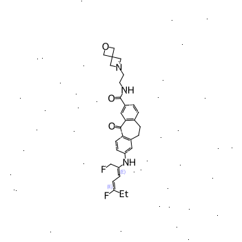 CC/C(F)=C\C=C(/CF)Nc1ccc2c(c1)CCc1ccc(C(=O)NCCN3CC4(COC4)C3)cc1C2=O